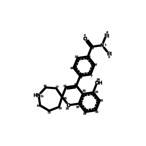 CCN(CC)C(=O)c1ccc(C2=CC3(CCCNCC3)Oc3cccc(O)c32)cc1